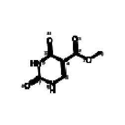 COC(=O)c1c[nH]c(=O)[nH]c1=O